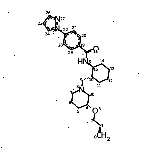 C=CCO[C@@H]1CCCN(C[C@H]2CCCC[C@@H]2NC(=O)c2ccc(-n3cccn3)cc2)C1